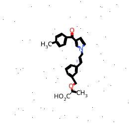 Cc1ccc(C(=O)c2ccn(C/C=C/c3cccc(CO[C@H](C)C(=O)O)c3)c2)cc1